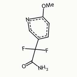 COc1ccc(C(F)(F)C(N)=O)cn1